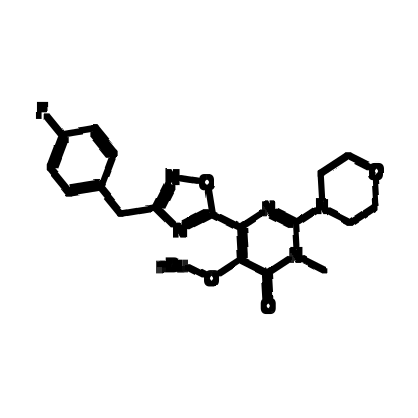 CCCCOc1c(-c2nc(Cc3ccc(F)cc3)no2)nc(N2CCOCC2)n(C)c1=O